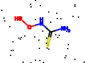 NC(=S)NOO